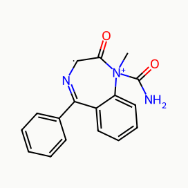 C[N+]1(C(N)=O)C(=O)[CH]N=C(c2ccccc2)c2ccccc21